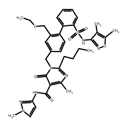 CCCCc1nc(C)c(C(=O)Nc2ccn(C)n2)c(=O)n1Cc1ccc(-c2ccccc2S(=O)(=O)Nc2noc(C)c2C)c(COCC)c1